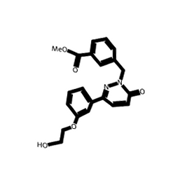 COC(=O)c1cccc(Cn2nc(-c3cccc(OCCO)c3)ccc2=O)c1